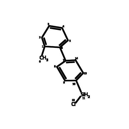 Cc1ccccc1-c1ccc([SiH2]Cl)cc1